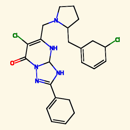 O=C1C(Cl)=C(CN2CCCC2CC2=CC=CC(Cl)C2)NC2NC(C3=CC=CCC3)=NN12